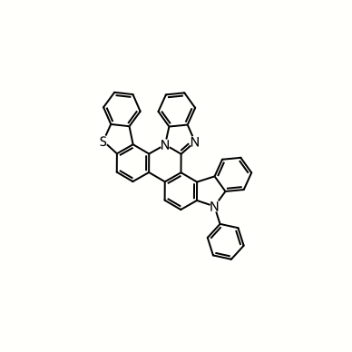 c1ccc(-n2c3ccccc3c3c4c(ccc32)c2ccc3sc5ccccc5c3c2n2c3ccccc3nc42)cc1